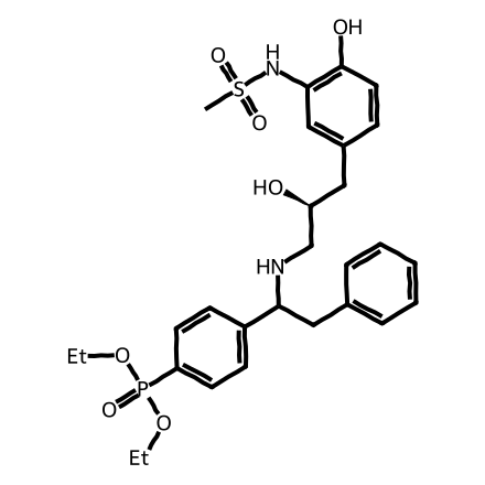 CCOP(=O)(OCC)c1ccc(C(Cc2ccccc2)NC[C@@H](O)Cc2ccc(O)c(NS(C)(=O)=O)c2)cc1